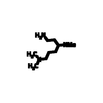 CNC(CCN)CCCN(C)C